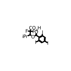 CC(C)C(OC(=O)c1c(I)cc(I)cc1I)C(F)(F)C(=O)O